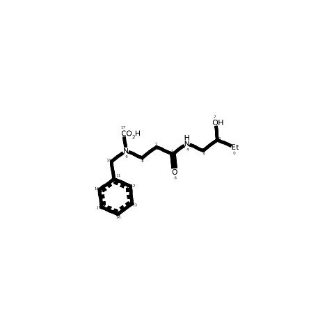 CCC(O)CNC(=O)CCN(Cc1ccccc1)C(=O)O